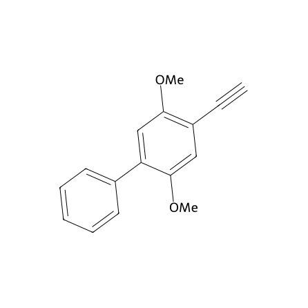 C#Cc1cc(OC)c(-c2ccccc2)cc1OC